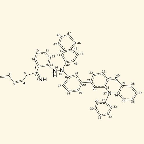 C/C=C\C=C/CC(=N)c1ccccc1NN(c1cccc(-c2ccc3c(c2)N(c2ccccc2)c2ccccc2S3)c1)c1ccc2ccccc2c1